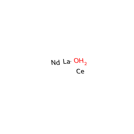 O.[Ce].[La].[Nd]